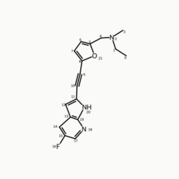 CCN(C)Cc1ccc(C#Cc2cc3cc(F)cnc3[nH]2)o1